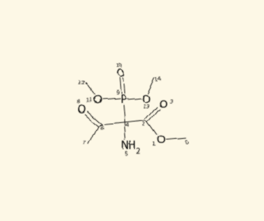 COC(=O)C(N)(C(C)=O)P(=O)(OC)OC